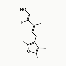 CC(=C\Cc1c(C)oc(C)c1C)/C(F)=C/O